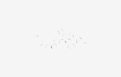 C=C/C=C\c1cccc2c(/C(=C\C=C)N(c3ccccc3)c3ccc(C(=O)OCC(=C)C(=O)OCC)cc3)cccc12